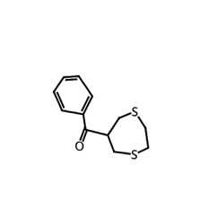 O=C(c1ccccc1)C1CSCCSC1